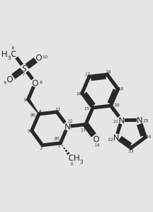 C[C@@H]1CC[C@@H](COS(C)(=O)=O)CN1C(=O)c1ccccc1-n1nccn1